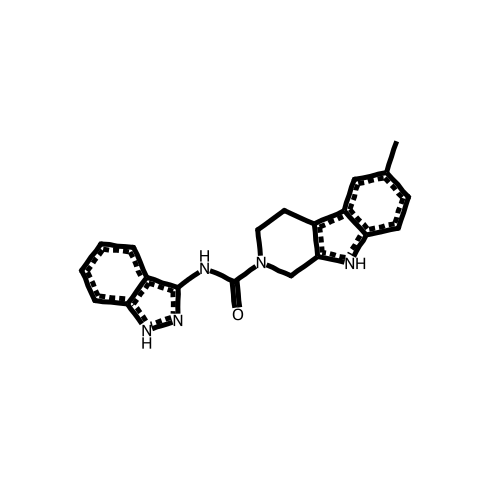 Cc1ccc2[nH]c3c(c2c1)CCN(C(=O)Nc1n[nH]c2ccccc12)C3